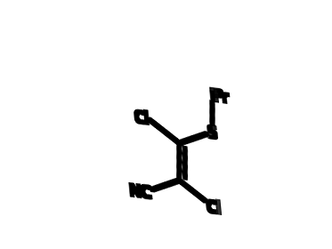 CC(C)SC(Cl)=C(Cl)C#N